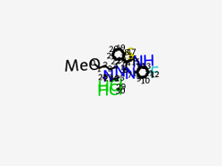 COCCC1CN(C2=Nc3ccc(F)cc3Nc3sc4ccccc4c32)CCN1C.Cl.Cl